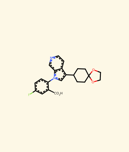 O=C(O)c1cc(F)ccc1-n1cc(C2CCC3(CC2)OCCO3)c2ccncc21